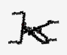 CCCCC/C=C\C/C=C\CCCCCCCC(=O)OCCN(CCOC(=O)CCCCCCC/C=C\C/C=C\CCCCC)C(=O)CCC(=O)NC[C@H](NC(=O)CCC(=O)N(CCOC(=O)CCCCCCC/C=C\C/C=C\CCCCC)CCOC(=O)CCCCCCC/C=C\C/C=C\CCCCC)C(=O)NCCCOCCOCCOCCOC